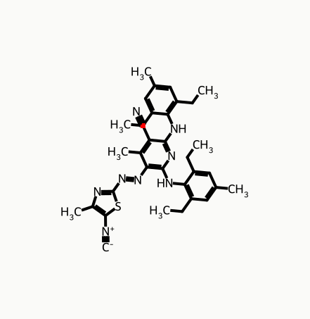 [C-]#[N+]c1sc(N=Nc2c(Nc3c(CC)cc(C)cc3CC)nc(Nc3c(CC)cc(C)cc3CC)c(C#N)c2C)nc1C